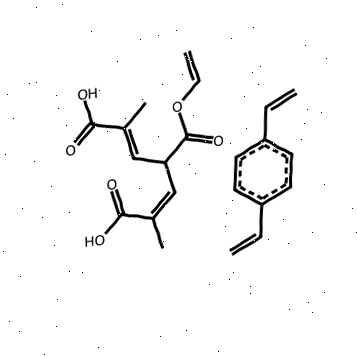 C=COC(=O)C(C=C(C)C(=O)O)C=C(C)C(=O)O.C=Cc1ccc(C=C)cc1